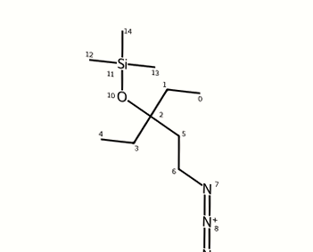 CCC(CC)(CCN=[N+]=[N-])O[Si](C)(C)C